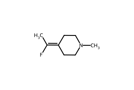 CC(F)=C1CCN(C)CC1